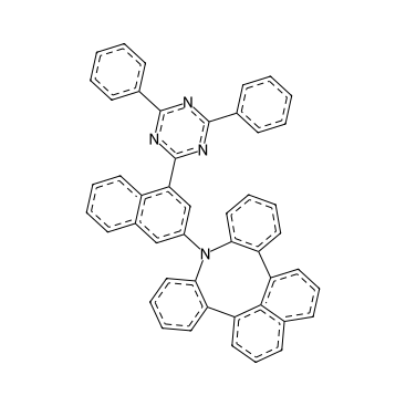 c1ccc(-c2nc(-c3ccccc3)nc(-c3cc(N4c5ccccc5-c5cccc6cccc(c56)-c5ccccc54)cc4ccccc34)n2)cc1